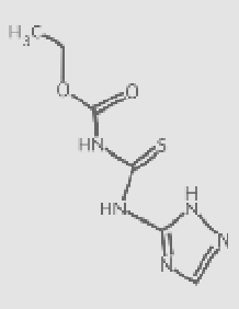 CCOC(=O)NC(=S)Nc1ncn[nH]1